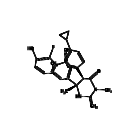 C=C(/C=C(\C=C/C)[C@@]1(C)NC(=C)N(C)C(=O)[C@@H]1c1ccc(C2CC2)cc1)c1cccc(O)c1F